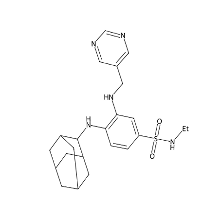 CCNS(=O)(=O)c1ccc(NC2C3CC4CC(C3)CC2C4)c(NCc2cncnc2)c1